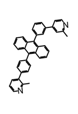 Cc1cc(-c2cccc(-c3c4ccccc4c(-c4ccc(-c5cccnc5C)cc4)c4ccccc34)c2)ccn1